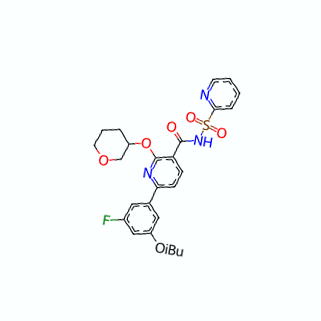 CC(C)COc1cc(F)cc(-c2ccc(C(=O)NS(=O)(=O)c3ccccn3)c(OC3CCCOC3)n2)c1